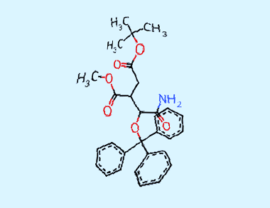 COC(=O)C(CC(=O)OC(C)(C)C)C(OC(c1ccccc1)(c1ccccc1)c1ccccc1)C(N)=O